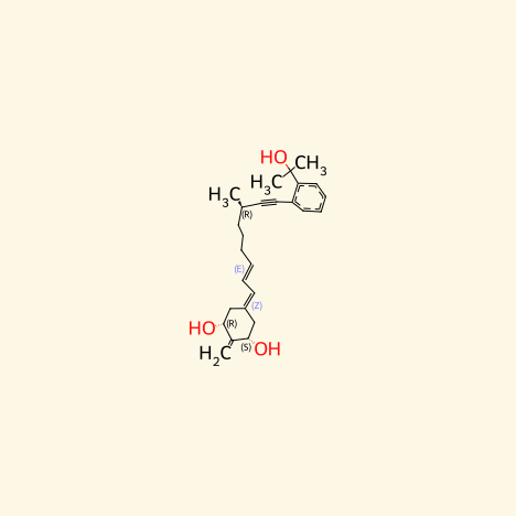 C=C1[C@H](O)C/C(=C\C=C\CCC[C@@H](C)C#Cc2ccccc2C(C)(C)O)C[C@@H]1O